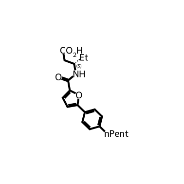 CCCCCc1ccc(-c2ccc(C(=O)N[C@@H](CC)CC(=O)O)o2)cc1